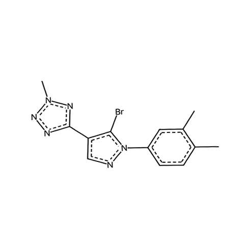 Cc1ccc(-n2ncc(-c3nnn(C)n3)c2Br)cc1C